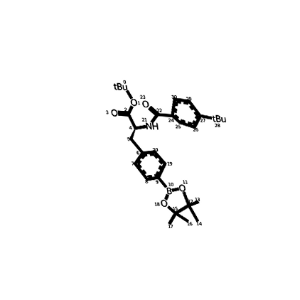 CC(C)(C)OC(=O)[C@H](Cc1ccc(B2OC(C)(C)C(C)(C)O2)cc1)NC(=O)c1ccc(C(C)(C)C)cc1